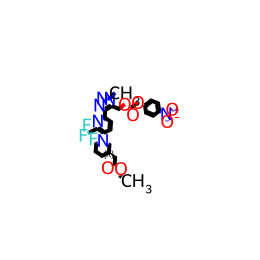 CCOC(=O)C[C@H]1CCCN(c2ccc(-c3nnn(C)c3COC(=O)Oc3ccc([N+](=O)[O-])cc3)nc2C(F)(F)F)C1